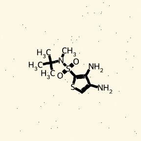 CN(C(C)(C)C)S(=O)(=O)c1scc(N)c1N